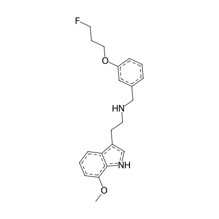 COc1cccc2c(CCNCc3cccc(OCCCF)c3)c[nH]c12